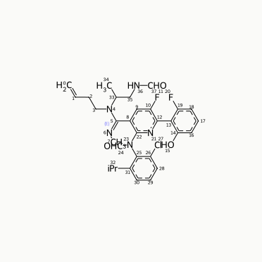 C=CCCN(/C(=N/C)c1cc(F)c(-c2c(O)cccc2F)nc1N(C=O)c1c(Cl)cccc1C(C)C)C(C)CNC=O